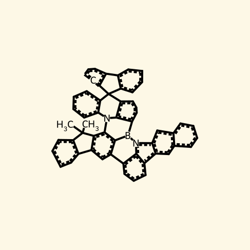 CC1(C)c2ccccc2-c2cc3c4c(c21)N1c2ccccc2C2(c5ccccc5-c5ccccc52)c2cccc(c21)B4n1c2cc4ccccc4cc2c2cccc-3c21